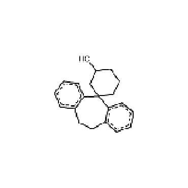 OC1CCCC2(C1)c1ccccc1CCc1ccccc12